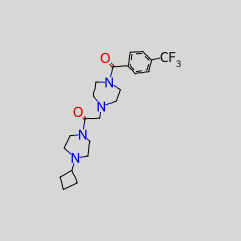 O=C(CN1CCN(C(=O)c2ccc(C(F)(F)F)cc2)CC1)N1CCN(C2CCC2)CC1